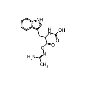 C/C(N)=N/OC(=O)C(Cc1c[nH]c2ccccc12)NC(=O)O